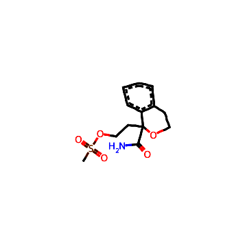 CS(=O)(=O)OCCC1(C(N)=O)OCCc2ccccc21